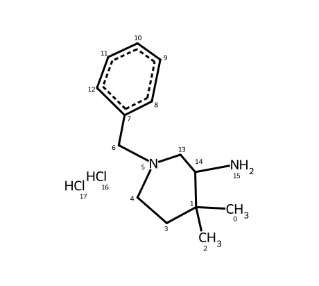 CC1(C)CCN(Cc2ccccc2)CC1N.Cl.Cl